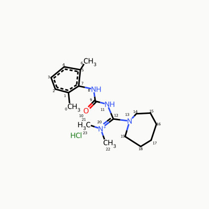 Cc1cccc(C)c1NC(=O)NC(N1CCCCCC1)=[N+](C)C.Cl